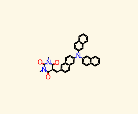 CN1C(=O)C(=Cc2ccc3cc(N(c4ccc5ccccc5c4)c4ccc5ccccc5c4)ccc3c2)C(=O)N(C)C1=O